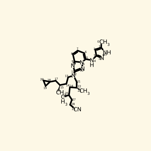 Cc1cc(Nc2cccc3nc(N(CC[C@@H](C)CC4CC4)C[C@@H](C)CC(C)CCC#N)nn23)n[nH]1